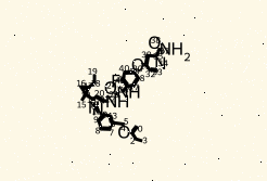 C=C(CC)OCc1cccc(-n2nc(C3(C)C=C3CC)cc2NC(=O)Nc2ccc(Oc3ccnc(C(N)=O)c3)cc2F)c1